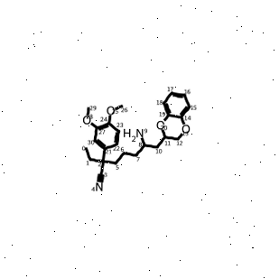 CCC(C#N)(CCCC(N)CC1COc2ccccc2O1)c1ccc(OC)c(OC)c1